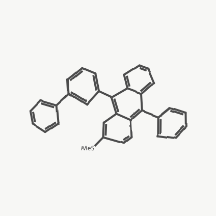 CSc1ccc2c(-c3ccccc3)c3ccccc3c(-c3cccc(-c4ccccc4)c3)c2c1